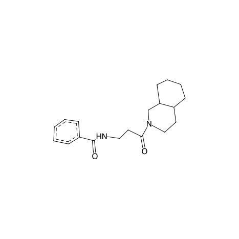 O=C(NCCC(=O)N1CCC2CCCCC2C1)c1ccccc1